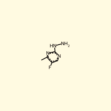 Cc1nc(NN)ncc1F